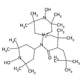 CC(C)(C)CC(C(=O)N(C1CC(C)(C)N(O)C(C)(C)C1)C1CC(C)(C)N(O)C(C)(C)C1)C(C)(C)C